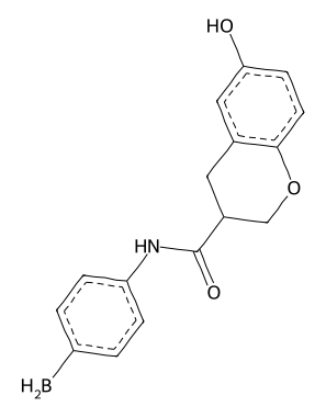 Bc1ccc(NC(=O)C2COc3ccc(O)cc3C2)cc1